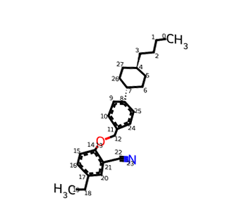 CCCC[C@H]1CC[C@H](c2ccc(COc3ccc(CC)cc3C#N)cc2)CC1